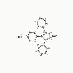 O=C([O-])c1ccc(-n2c(-c3ccccc3)ccc2-c2ccccc2)cc1.[Na+]